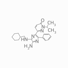 CC(C)n1nc(-c2nc(NCC3CCCCC3)c(N)nc2-c2ccccc2)ccc1=O